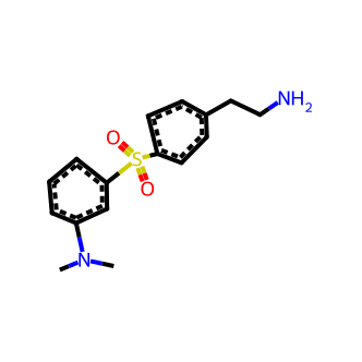 CN(C)c1cccc(S(=O)(=O)c2ccc(CCN)cc2)c1